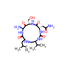 CC(C)CC1NCC(C(C)C)NC(=O)N[C@@H](CC(N)=O)C(=O)N[C@@H](CO)C(=O)C(N)NC1=O